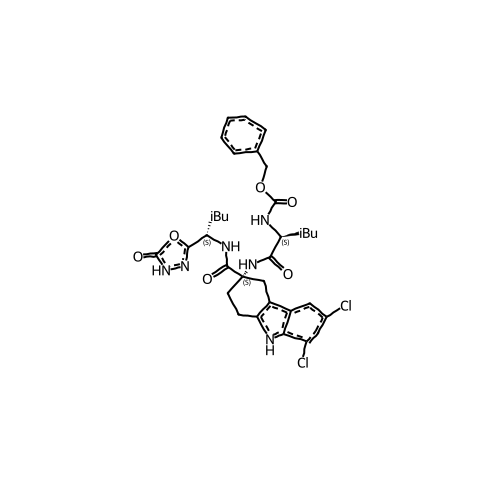 CCC(C)[C@H](NC(=O)OCc1ccccc1)C(=O)N[C@@]1(C(=O)N[C@H](c2n[nH]c(=O)o2)C(C)CC)CCc2[nH]c3c(Cl)cc(Cl)cc3c2C1